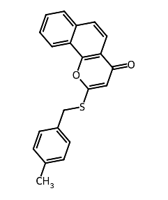 Cc1ccc(CSc2cc(=O)c3ccc4ccccc4c3o2)cc1